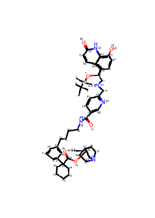 CC(C)(C)[Si](C)(C)O[C@H](CNCc1ccc(C(=O)NCCCCc2cccc(C3(C(=O)O[C@H]4CN5CCC4CC5)CCCCC3)c2)cn1)c1ccc(O)c2[nH]c(=O)ccc12